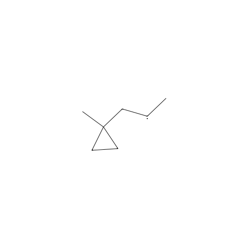 C[CH]CC1(C)CC1